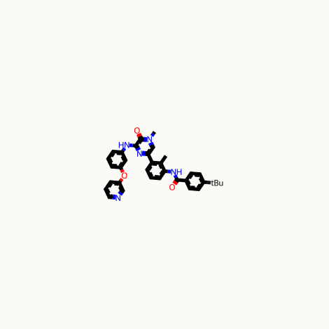 Cc1c(NC(=O)c2ccc(C(C)(C)C)cc2)cccc1-c1cn(C)c(=O)c(Nc2cccc(Oc3cccnc3)c2)n1